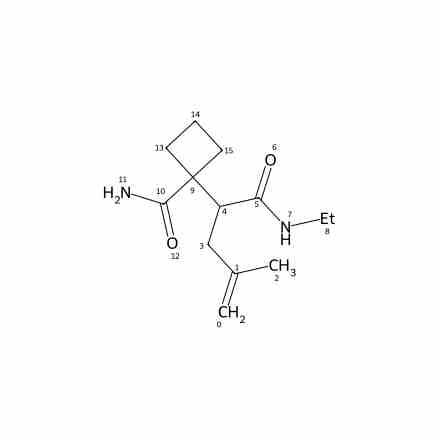 C=C(C)CC(C(=O)NCC)C1(C(N)=O)CCC1